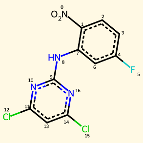 O=[N+]([O-])c1ccc(F)cc1Nc1nc(Cl)cc(Cl)n1